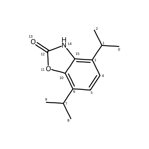 CC(C)c1ccc(C(C)C)c2oc(=O)[nH]c12